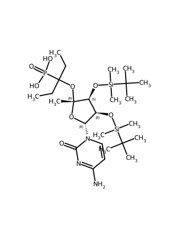 CCC(CC)(O[C@@]1(C)O[C@@H](n2ccc(N)nc2=O)[C@H](O[Si](C)(C)C(C)(C)C)[C@@H]1O[Si](C)(C)C(C)(C)C)P(=O)(O)O